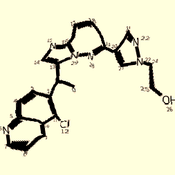 CC(c1ccc2ncccc2c1Cl)c1cnc2ccc(-c3cnn(CCO)c3)nn12